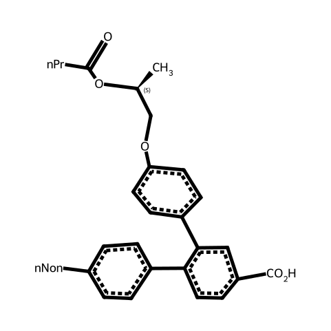 CCCCCCCCCc1ccc(-c2ccc(C(=O)O)cc2-c2ccc(OC[C@H](C)OC(=O)CCC)cc2)cc1